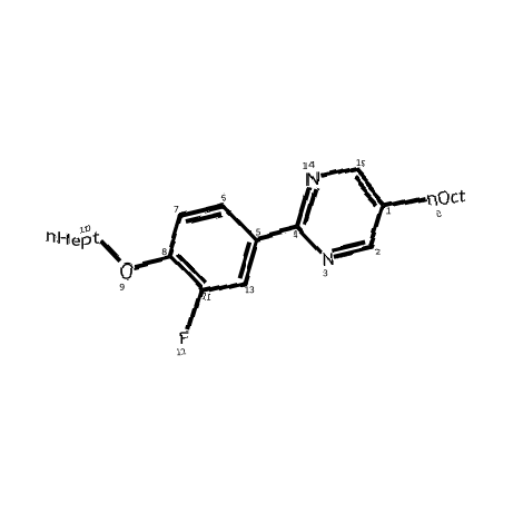 CCCCCCCCc1cnc(-c2ccc(OCCCCCCC)c(F)c2)nc1